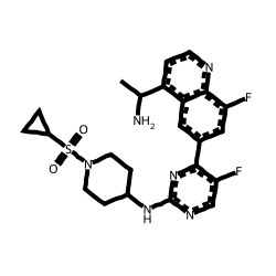 CC(N)c1ccnc2c(F)cc(-c3nc(NC4CCN(S(=O)(=O)C5CC5)CC4)ncc3F)cc12